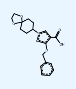 O=C(O)c1cn(C2CCC3(CC2)OCCO3)nc1OCc1ccccc1